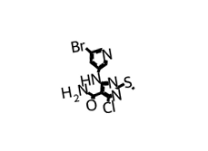 CSc1nc(Cl)c(C(N)=O)c(Nc2cncc(Br)c2)n1